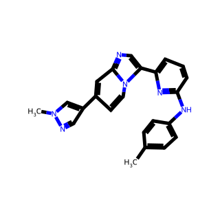 Cc1ccc(Nc2cccc(-c3cnc4cc(-c5cnn(C)c5)ccn34)n2)cc1